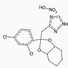 Clc1ccc(C2(Cc3nc[nH]n3)OC3CCCCC3O2)c(Cl)c1.O=[N+]([O-])O